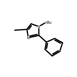 CCCCn1cc(C)nc1-c1ccccc1